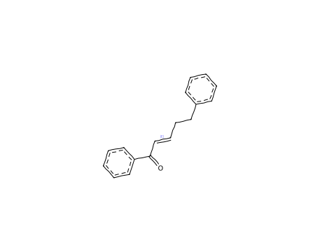 O=C(/C=C/CCc1ccccc1)c1ccccc1